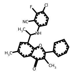 Cc1cc(C(C)Nc2ccc(Cl)c(F)c2C#N)c2oc(-c3ccccc3)c(C)c(=O)c2c1